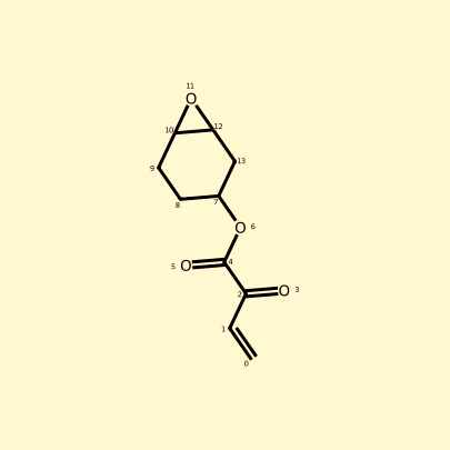 C=CC(=O)C(=O)OC1CCC2OC2C1